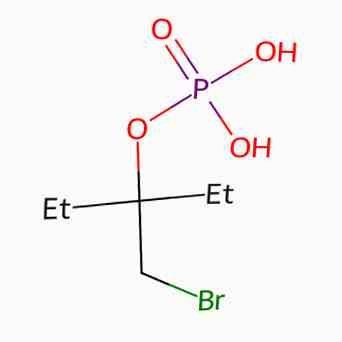 CCC(CC)(CBr)OP(=O)(O)O